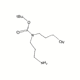 CC(C)(C)OC(=O)N(CCCN)CCCO